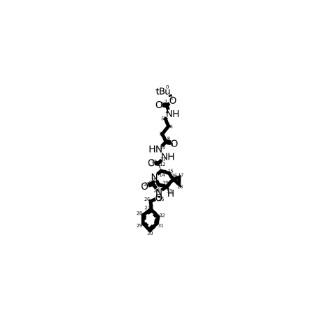 CC(C)(C)OC(=O)NCCCC(=O)NNC(=O)[C@@H]1CC2(CC2)[C@H]2CN1C(=O)N2OCc1ccccc1